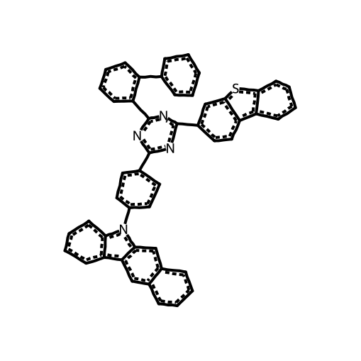 c1ccc(-c2ccccc2-c2nc(-c3ccc(-n4c5ccccc5c5cc6ccccc6cc54)cc3)nc(-c3ccc4c(c3)sc3ccccc34)n2)cc1